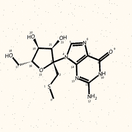 CSC[C@@]1(n2cnc3c(=O)[nH]c(N)nc32)O[C@H](CO)[C@@H](O)[C@H]1O